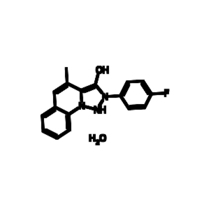 CC1=Cc2ccccc2N2NN(c3ccc(F)cc3)C(O)=C12.O